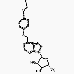 C[C@H]1O[C@@H](n2cnc3c(COc4ccc(OCF)cc4)ncnc32)[C@H](O)[C@@H]1O